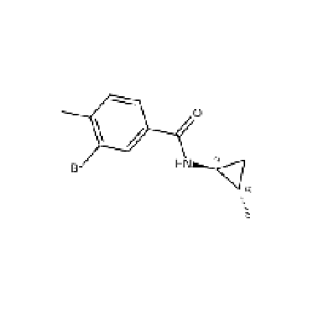 Cc1ccc(C(=O)N[C@H]2C[C@@H]2C)cc1Br